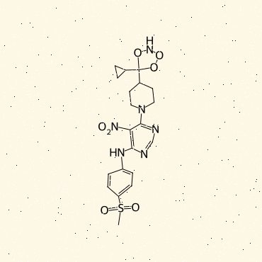 CS(=O)(=O)c1ccc(Nc2ncnc(N3CCC(C4(C5CC5)ONOO4)CC3)c2[N+](=O)[O-])cc1